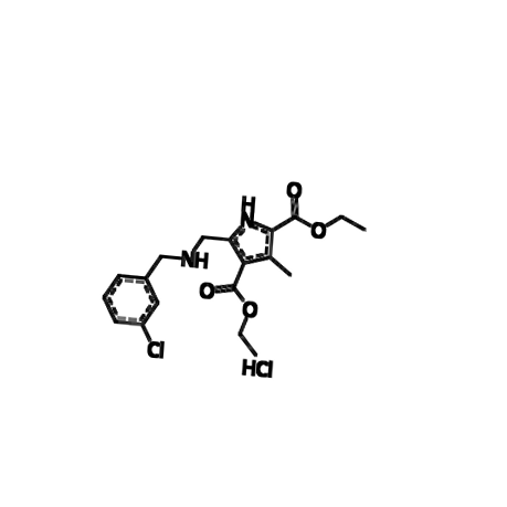 CCOC(=O)c1[nH]c(CNCc2cccc(Cl)c2)c(C(=O)OCC)c1C.Cl